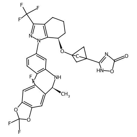 C[C@H](Nc1cc(-n2nc(C(F)(F)F)c3c2[C@H](OC24CC(c5nc(=O)o[nH]5)(C2)C4)CCC3)ccc1F)c1cc2c(cc1F)OC(F)(F)O2